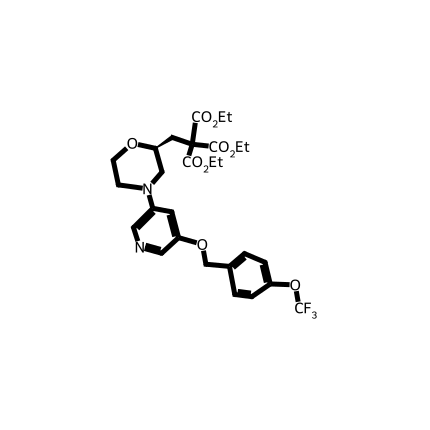 CCOC(=O)C(C[C@H]1CN(c2cncc(OCc3ccc(OC(F)(F)F)cc3)c2)CCO1)(C(=O)OCC)C(=O)OCC